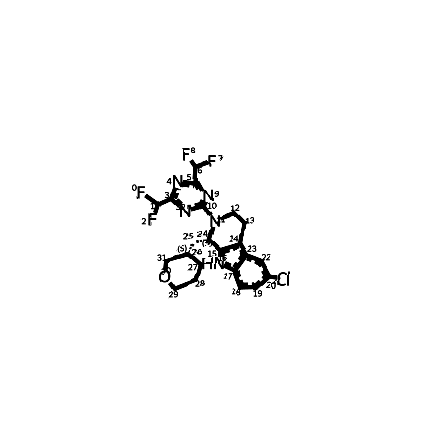 FC(F)c1nc(C(F)F)nc(N2CCc3c([nH]c4ccc(Cl)cc34)[C@@H]2C[C@@H]2CCCOC2)n1